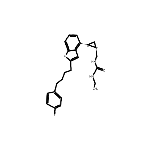 CCNC(=O)NC[C@@H]1C[C@H]1c1cccc2oc(CCCCc3ccc(F)cc3)cc12